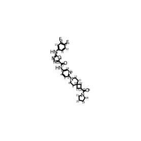 O=C(Nc1ccc(N2CCC3(CC2)CC(C(=O)N2CCCC2)C3)nc1)c1nnc(Nc2ccc(F)c(F)c2)o1